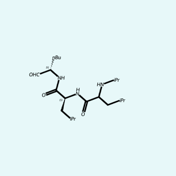 CCCC[C@@H](C=O)NC(=O)[C@H](CC(C)C)NC(=O)C(CC(C)C)NC(C)C